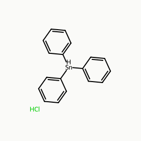 Cl.c1cc[c]([SnH]([c]2ccccc2)[c]2ccccc2)cc1